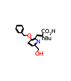 CCCC/C(=C\c1nc(CO)ccc1OCc1ccccc1)C(=O)O